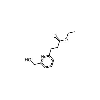 CCOC(=O)CCc1cccc(CO)n1